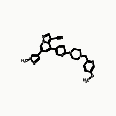 COc1ccc(CN2CCN(c3ccc(-c4cc(-c5cnn(C)c5)cn5ncc(C#N)c45)cn3)CC2)nc1